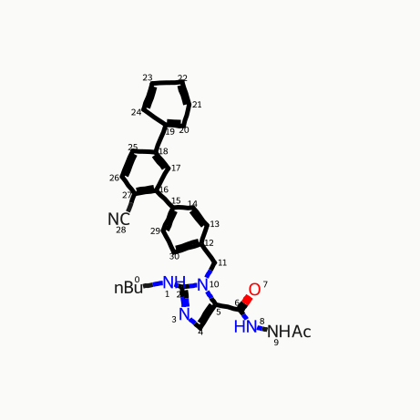 CCCCNc1ncc(C(=O)NNC(C)=O)n1Cc1ccc(-c2cc(-c3ccccc3)ccc2C#N)cc1